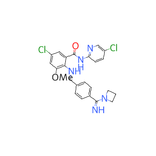 COc1cc(Cl)cc(C(=O)Nc2ccc(Cl)cn2)c1NCc1ccc(C(=N)N2CCC2)cc1